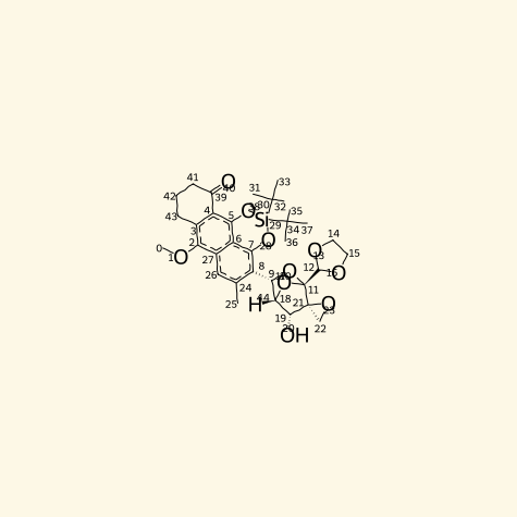 COc1c2c(c3c4c(c([C@@H]5O[C@@]6(C7OCCO7)O[C@@H]5[C@@H](O)[C@@]65CO5)c(C)cc14)O[Si](C(C)(C)C)(C(C)(C)C)O3)C(=O)CCC2